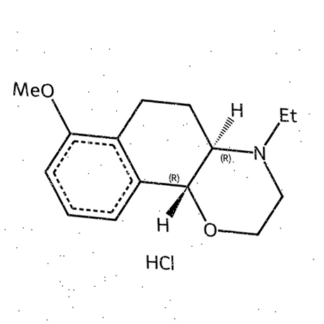 CCN1CCO[C@@H]2c3cccc(OC)c3CC[C@H]21.Cl